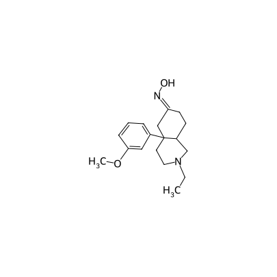 CCN1CCC2(c3cccc(OC)c3)CC(=NO)CCC2C1